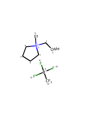 CC[N+]1(COC)CCCC1.F[B-](F)(F)C(F)(F)F